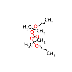 CCCCOC(C)(C)OC(=O)OC(C)(C)OCCCC